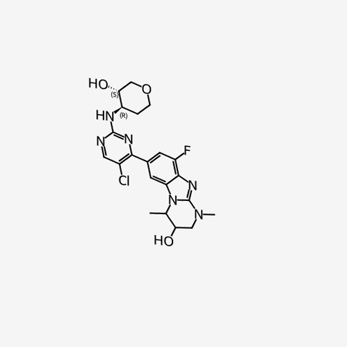 CC1C(O)CN(C)c2nc3c(F)cc(-c4nc(N[C@@H]5CCOC[C@H]5O)ncc4Cl)cc3n21